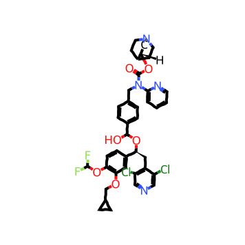 O=C(O[C@H]1CN2CCC1CC2)N(Cc1ccc(C(O)O[C@@H](Cc2c(Cl)cncc2Cl)c2ccc(OC(F)F)c(OCC3CC3)c2)cc1)c1ccccn1